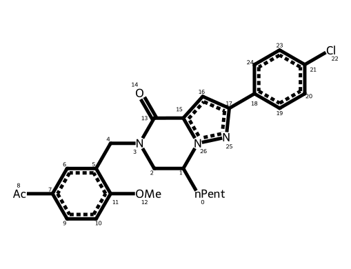 CCCCCC1CN(Cc2cc(C(C)=O)ccc2OC)C(=O)c2cc(-c3ccc(Cl)cc3)nn21